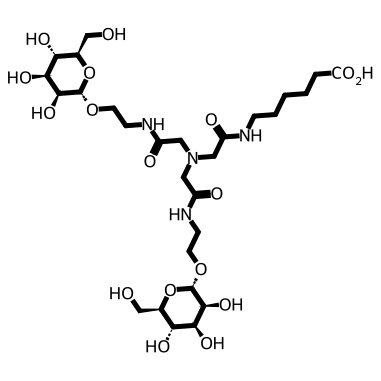 O=C(O)CCCCCNC(=O)CN(CC(=O)NCCO[C@H]1O[C@H](CO)[C@@H](O)[C@H](O)[C@@H]1O)CC(=O)NCCO[C@H]1O[C@H](CO)[C@@H](O)[C@H](O)[C@@H]1O